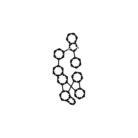 c1ccc(-c2nc3ccccc3n2-c2cccc(-c3ccc4cc5c(cc4c3)C3(c4ccccc4-c4ccccc43)c3c-5ccc4ccccc34)c2)cc1